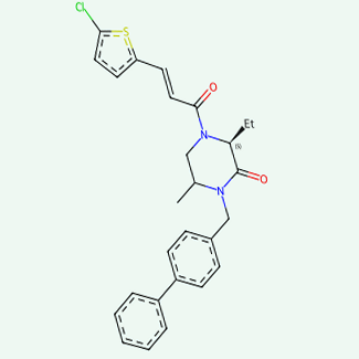 CC[C@H]1C(=O)N(Cc2ccc(-c3ccccc3)cc2)C(C)CN1C(=O)C=Cc1ccc(Cl)s1